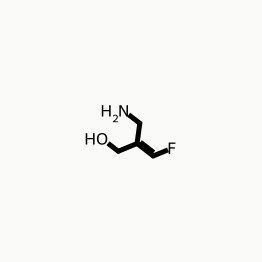 NC/C(=C\F)CO